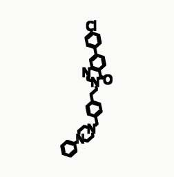 O=c1c2ccc(-c3ccc(Cl)cc3)cc2ncn1CCc1ccc(CN2CCN(c3ccccc3)CC2)cc1